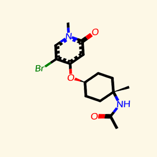 CC(=O)N[C@]1(C)CC[C@@H](Oc2cc(=O)n(C)cc2Br)CC1